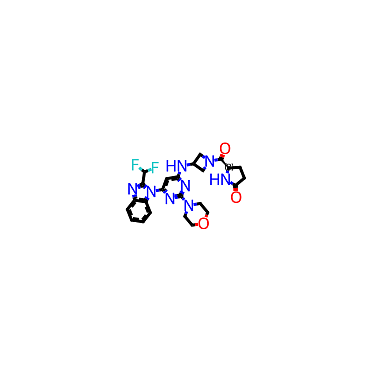 O=C1CC[C@H](C(=O)N2CC(Nc3cc(-n4c(C(F)F)nc5ccccc54)nc(N4CCOCC4)n3)C2)N1